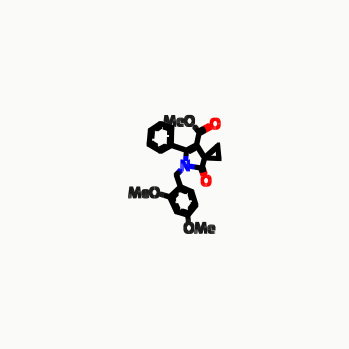 COC(=O)C1=C(c2ccccc2)N(Cc2ccc(OC)cc2OC)C(=O)C12CC2